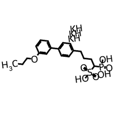 CCCOc1cccc(-c2ccc(CCCC(P(=O)(O)O)S(=O)(=O)O)cc2)c1.[KH].[KH].[KH]